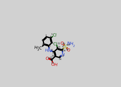 Cc1ccc(Cl)cc1Nc1c(C(=O)O)cnc(S(N)(=O)=O)c1Cl